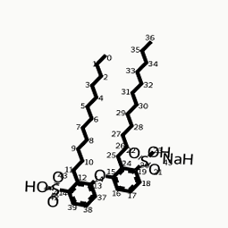 CCCCCCCCCCCCc1c(Oc2cccc(S(=O)(=O)O)c2CCCCCCCCCCCC)cccc1S(=O)(=O)O.[NaH]